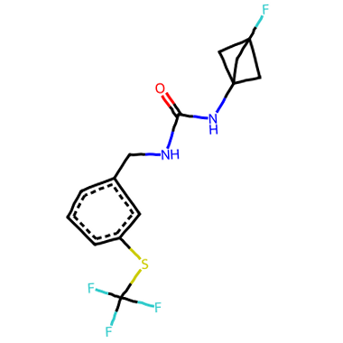 O=C(NCc1cccc(SC(F)(F)F)c1)NC12CC(F)(C1)C2